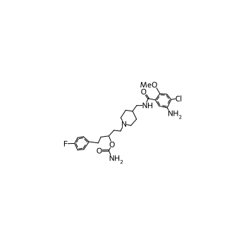 COc1cc(Cl)c(N)cc1C(=O)NCC1CCN(CCC(CCc2ccc(F)cc2)OC(N)=O)CC1